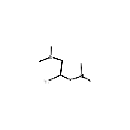 CCC(CN(C)C)CN(C)C